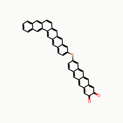 O=C1C=c2cc3cc4ccc(Sc5ccc6cc7cc8c(ccc9cc%10ccccc%10cc98)cc7cc6c5)cc4cc3cc2=CC1=O